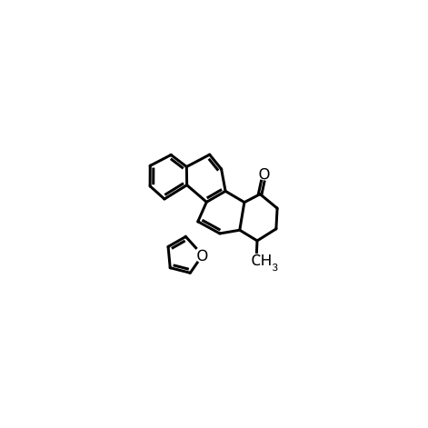 CC1CCC(=O)C2c3ccc4ccccc4c3C=CC12.c1ccoc1